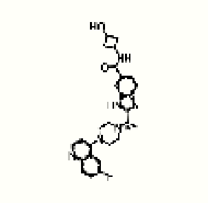 C[C@H](c1nc2ccc(C(=O)NC3CC(O)C3)cc2[nH]1)N1CCN(c2ccnc3ccc(F)cc23)CC1